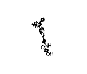 CC(C)(C)c1nc(C2CCC2)cc(N2CCN(CC[C@H]3C[C@@H](NC(=O)[C@H]4C[C@H](O)C4)C3)CC2)n1